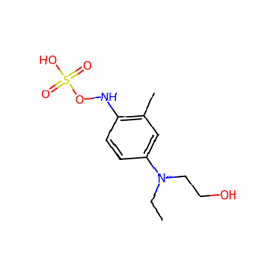 CCN(CCO)c1ccc(NOS(=O)(=O)O)c(C)c1